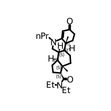 CCCN1C[C@H]2[C@@H]3CC[C@H](C(=O)N(CC)CC)[C@@]3(C)CC[C@@H]2[C@@]2(C)CCC(=O)C=C12